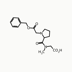 CN(CC(=O)O)C(=O)C1CCCN1CC(=O)OCc1ccccc1